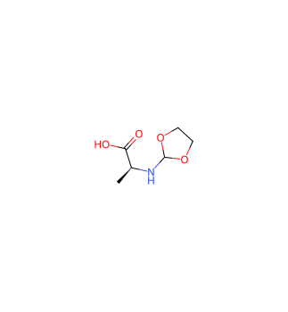 C[C@H](NC1OCCO1)C(=O)O